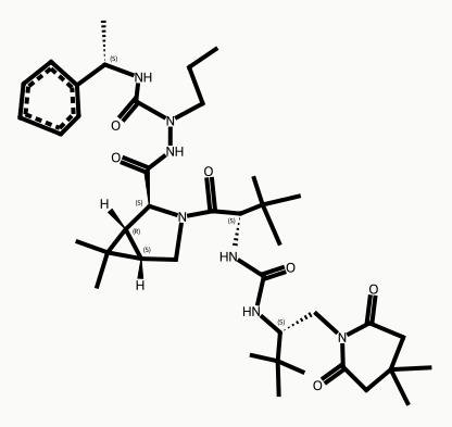 CCCN(NC(=O)[C@@H]1[C@@H]2[C@H](CN1C(=O)[C@@H](NC(=O)N[C@H](CN1C(=O)CC(C)(C)CC1=O)C(C)(C)C)C(C)(C)C)C2(C)C)C(=O)N[C@@H](C)c1ccccc1